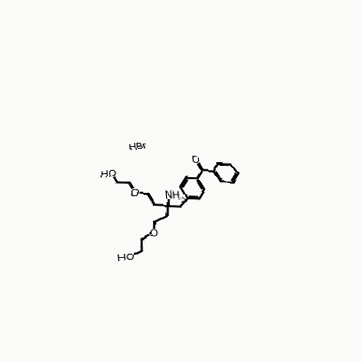 Br.NC(CCOCCO)(CCOCCO)Cc1ccc(C(=O)c2ccccc2)cc1